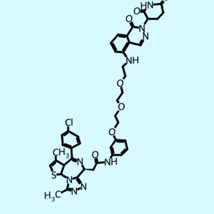 CC1=CSC2C1C(c1ccc(Cl)cc1)=N[C@@H](CC(=O)Nc1cccc(OCCOCCOCCNc3cccc4c(=O)n(C5CCC(=O)NC5=O)ncc34)c1)c1nnc(C)n12